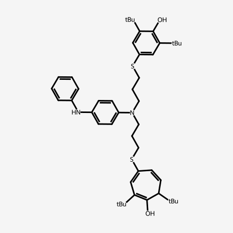 CC(C)(C)C1=C(O)C(C(C)(C)C)C=CC(SCCCN(CCCSc2cc(C(C)(C)C)c(O)c(C(C)(C)C)c2)c2ccc(Nc3ccccc3)cc2)=C1